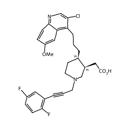 COc1ccc2ncc(Cl)c(CCC[C@@H]3CCN(CC#Cc4cc(F)ccc4F)C[C@@H]3CC(=O)O)c2c1